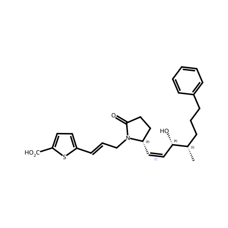 C[C@@H](CCCc1ccccc1)[C@@H](O)/C=C\[C@H]1CCC(=O)N1CC=Cc1ccc(C(=O)O)s1